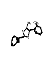 Cc1ccccc1C1OC(c2ccccc2)OC1C